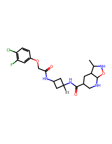 CCC1(NC(=O)C2CNC3ONC(C)C3C2)CC(NC(=O)COc2ccc(Cl)c(F)c2)C1